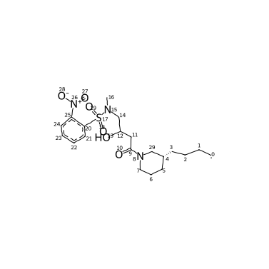 [CH2]CCC[C@@H]1CCCN(C(=O)CC(O)CN(C)S(=O)(=O)c2ccccc2[N+](=O)[O-])C1